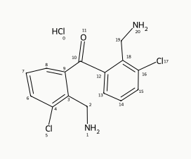 Cl.NCc1c(Cl)cccc1C(=O)c1cccc(Cl)c1CN